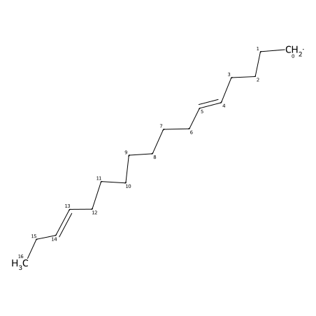 [CH2]CCC/C=C/CCCCCCC/C=C/CC